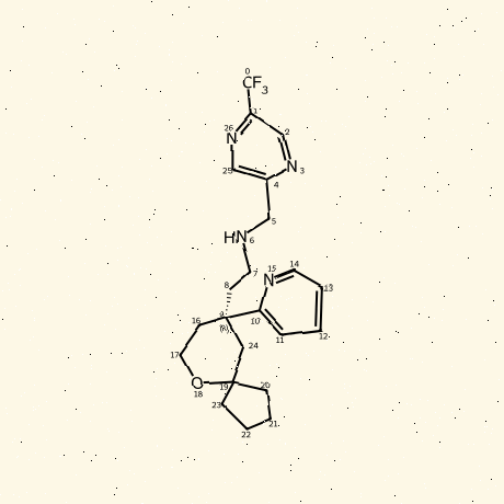 FC(F)(F)c1cnc(CNCC[C@@]2(c3ccccn3)CCOC3(CCCC3)C2)cn1